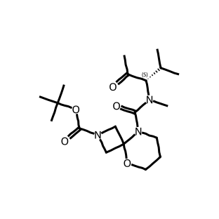 CC(=O)[C@H](C(C)C)N(C)C(=O)N1CCCOC12CN(C(=O)OC(C)(C)C)C2